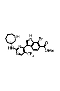 COC(=O)c1ccc2c(-c3nc(N[C@H]4CCCCNC4)ncc3C(F)(F)F)c[nH]c2c1Br